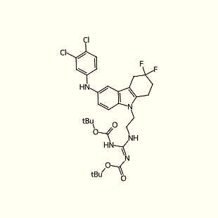 CC(C)(C)OC(=O)N=C(NCCn1c2c(c3cc(Nc4ccc(Cl)c(Cl)c4)ccc31)CC(F)(F)CC2)NC(=O)OC(C)(C)C